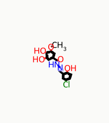 COc1cc(C(=O)N/N=C/c2cc(Cl)ccc2O)cc(O)c1O